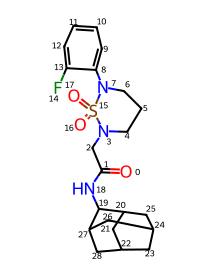 O=C(CN1CCCN(c2ccccc2F)S1(=O)=O)NC1C2CC3CC(C2)CC1C3